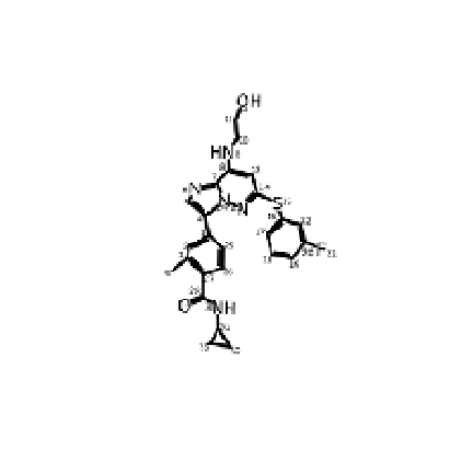 Cc1cc(-c2cnc3c(NCCO)cc(Sc4cccc(F)c4)nn23)ccc1C(=O)NC1CC1